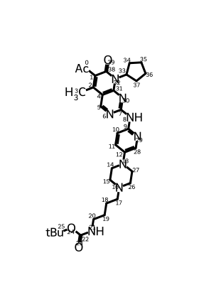 CC(=O)c1c(C)c2cnc(Nc3ccc(N4CCN(CCCCNC(=O)OC(C)(C)C)CC4)cn3)nc2n(C2CCCC2)c1=O